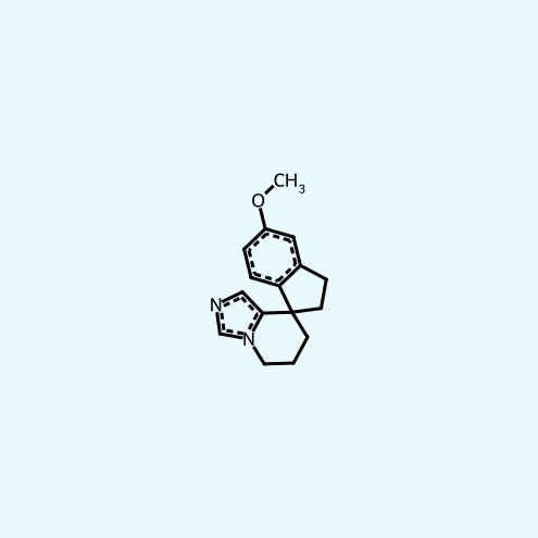 COc1ccc2c(c1)CCC21CCCn2cncc21